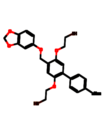 CCCCCCCCCc1ccc(-c2cc(OCCS)c(COc3ccc4c(c3)OCO4)cc2OCCS)cc1